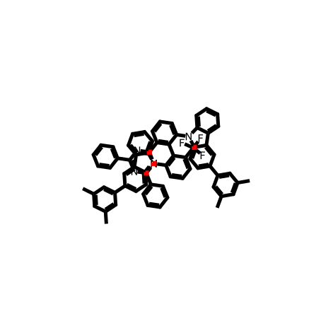 Cc1cc(C)cc(-c2ccc3c(c2)c2ccccc2n3-c2cccc(-c3nc(-c4ccccc4)nc(-c4ccccc4)n3)c2-c2c(-n3c4ccccc4c4cc(-c5cc(C)cc(C)c5)ccc43)cccc2C(F)(F)F)c1